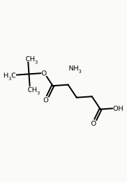 CC(C)(C)OC(=O)CCCC(=O)O.N